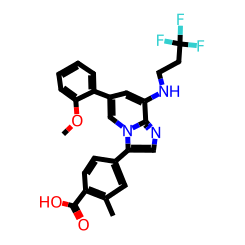 COc1ccccc1-c1cc(NCCC(F)(F)F)c2ncc(-c3ccc(C(=O)O)c(C)c3)n2c1